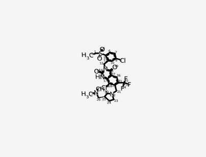 CCS(=O)(=O)c1ccc(Cl)cc1Cn1c(=O)[nH]c2c(Cl)c(CN3CC[C@@H](CN(C)C)C3)c(C(F)(F)F)cc2c1=O